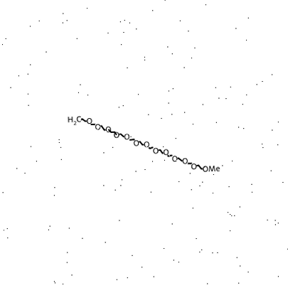 C=CCOCCOCCOCCOCCOCCOCCOCCOCCOCCOCCOCCOCCOC